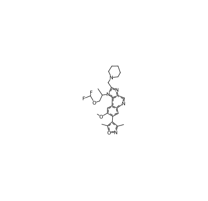 COc1cc2c(cc1-c1c(C)noc1C)ncc1nc(CN3CCCCC3)n(C(C)COC(F)F)c12